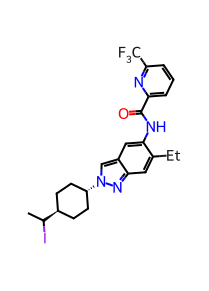 CCc1cc2nn([C@H]3CC[C@H](C(C)I)CC3)cc2cc1NC(=O)c1cccc(C(F)(F)F)n1